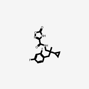 CC(CNC(=O)c1noc(=O)[nH]1)(Cc1ccc(F)cc1F)C1CC1